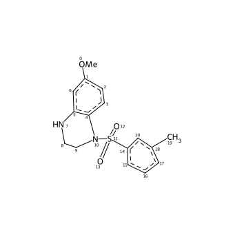 COc1ccc2c(c1)NCCN2S(=O)(=O)c1cccc(C)c1